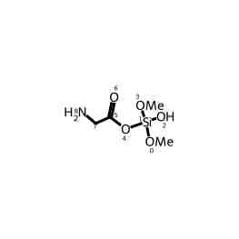 CO[Si](O)(OC)OC(=O)CN